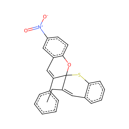 CCC1=Cc2ccccc2SC12Oc1ccc([N+](=O)[O-])cc1C=C2c1ccccc1